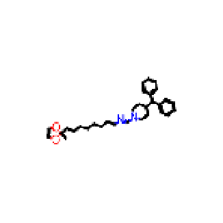 CC1(CCCCCCCCN=CN2CCC(C(c3ccccc3)c3ccccc3)CC2)OCCO1